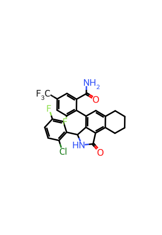 NC(=O)c1cc(C(F)(F)F)cc(F)c1-c1cc2c(c3c1C(c1cc(F)ccc1Cl)NC3=O)CCCC2